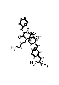 CCCCN1C(=O)[C@H](CC2CCCCC2)NC(=O)C12CCN(Cc1cccc(CC(C)C)c1)CC2.Cl